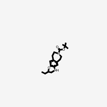 CCC1CNc2cc3c(cc2O1)CCN(C(=O)OC(C)(C)C)CC3